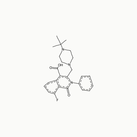 CC(C)(C)N1CCN(Cc2c(C(=O)O)c3cccc(F)c3c(=O)n2-c2ccccc2)CC1